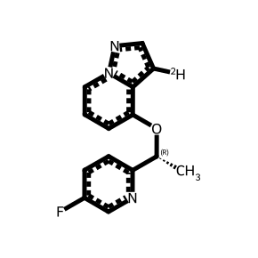 [2H]c1cnn2cccc(O[C@H](C)c3ccc(F)cn3)c12